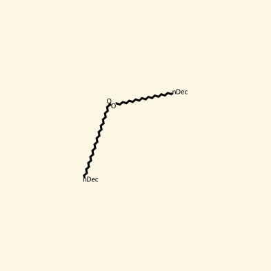 CCCCCCCCCCCCCCCCCCCCCCCCCCCCCCCCCC(=O)OCCCCCCCCCCCCCCCCCCCCCCCCCCCC